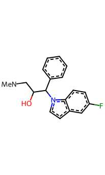 CNCC(O)C(c1ccccc1)n1ccc2cc(F)ccc21